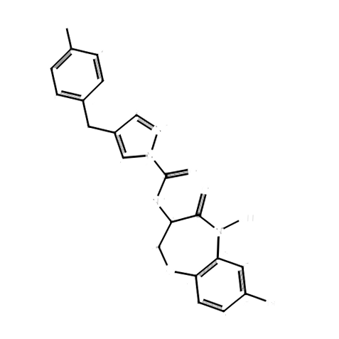 CN1C(=O)C(NC(=O)n2cc(Cc3ccc(F)cc3)cn2)COc2ccc(Br)cc21